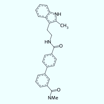 CNC(=O)c1cccc(-c2ccc(C(=O)NCCc3c(C)[nH]c4ccccc34)cc2)c1